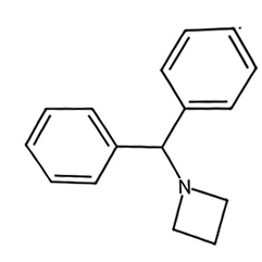 [c]1ccc(C(c2ccccc2)N2CCC2)cc1